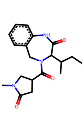 CCC(C)C1C(=O)Nc2ccccc2CN1C(=O)C1CC(=O)N(C)C1